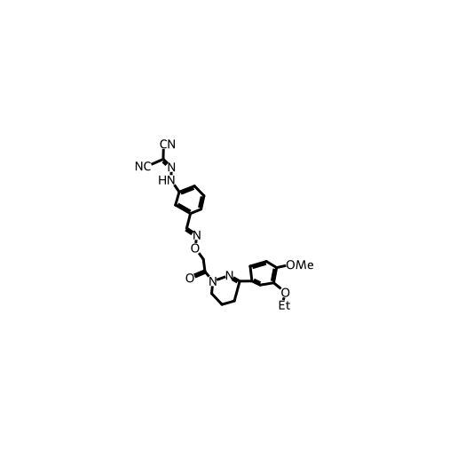 CCOc1cc(C2=NN(C(=O)CO/N=C/c3cccc(NN=C(C#N)C#N)c3)CCC2)ccc1OC